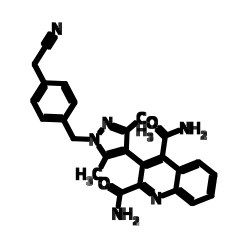 Cc1nn(Cc2ccc(CC#N)cc2)c(C)c1-c1c(C(N)=O)nc2ccccc2c1C(N)=O